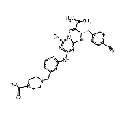 CN(C)C(=O)[C@H](Cc1ccc(C#N)cc1)Nc1nc(Cl)nc(Nc2cccc(CN3CCN(C(=O)O)CC3)c2)n1